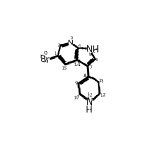 Brc1cnc2[nH]cc(C3=CCNCC3)c2c1